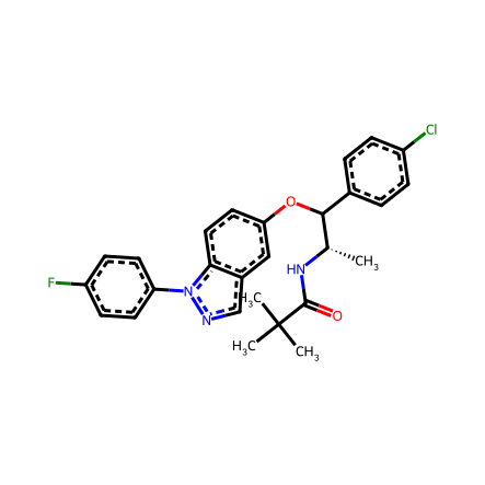 C[C@H](NC(=O)C(C)(C)C)C(Oc1ccc2c(cnn2-c2ccc(F)cc2)c1)c1ccc(Cl)cc1